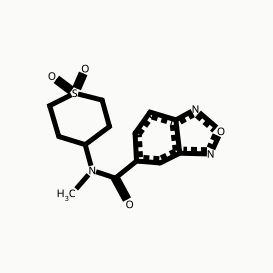 CN(C(=O)c1ccc2nonc2c1)C1CCS(=O)(=O)CC1